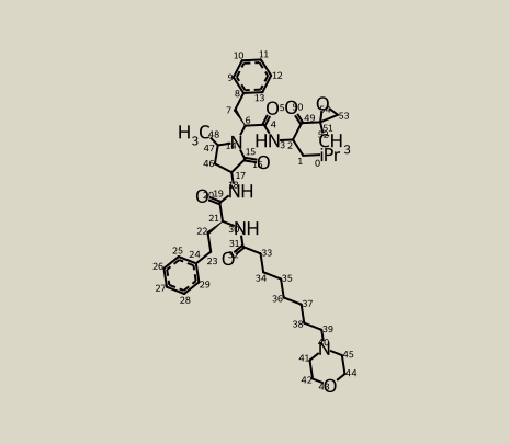 CC(C)CC(NC(=O)[C@H](Cc1ccccc1)N1C(=O)C(NC(=O)[C@H](CCc2ccccc2)NC(=O)CCCCCCCN2CCOCC2)CC1C)C(=O)C1(C)CO1